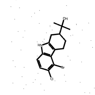 CC(C)(O)C1CCc2c([nH]c3ccc(Cl)c(Br)c23)C1